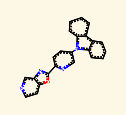 c1ccc2c(c1)c1ccccc1n2-c1ccc(-c2nc3cnccc3o2)nc1